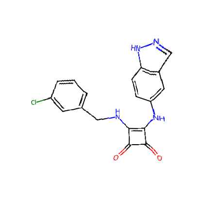 O=c1c(NCc2cccc(Cl)c2)c(Nc2ccc3[nH]ncc3c2)c1=O